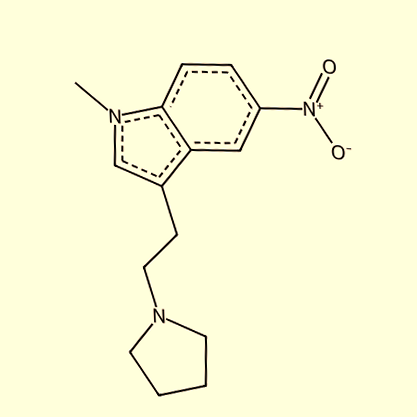 Cn1cc(CCN2CCCC2)c2cc([N+](=O)[O-])ccc21